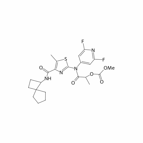 COC(=O)OC(C)C(=O)N(c1cc(F)nc(F)c1)c1nc(C(=O)NC2CCC23CCCC3)c(C)s1